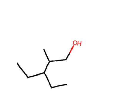 CCC(CC)C(C)CO